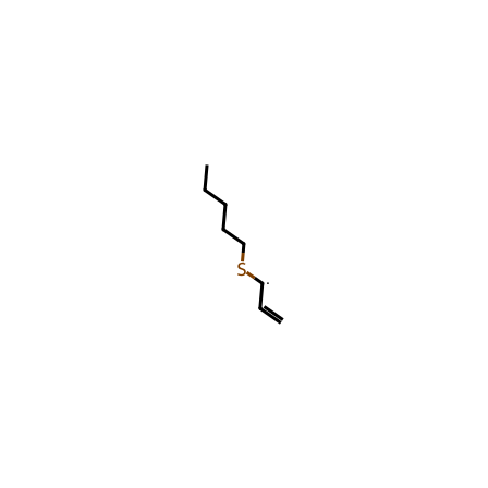 C=C[CH]SCCCCC